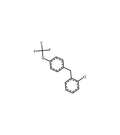 FC(F)(F)Oc1ccc(Cc2ccccc2Cl)cc1